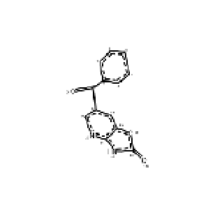 O=C(c1ccccc1)c1cnc2[nH]c(=O)oc2c1